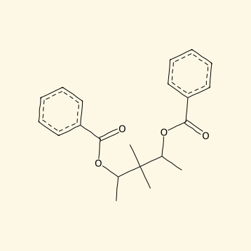 CC(OC(=O)c1ccccc1)C(C)(C)C(C)OC(=O)c1ccccc1